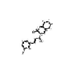 O=C(/C=C/c1cccc(F)c1)c1cc2ccccc2oc1=O